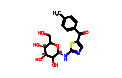 Cc1ccc(C(=O)c2cnc(N[C@H]3OC(CO)[C@@H](O)[C@H](O)C3O)s2)cc1